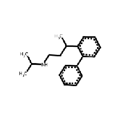 CC(C)NCCC(C)c1ccccc1-c1ccccc1